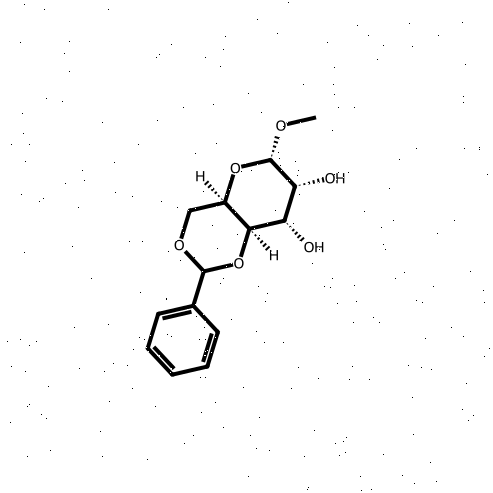 CO[C@H]1O[C@@H]2COC(c3ccccc3)O[C@@H]2[C@@H](O)[C@H]1O